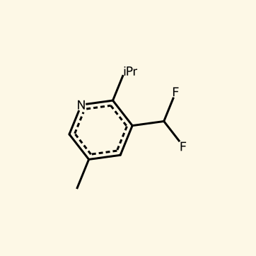 Cc1cnc(C(C)C)c(C(F)F)c1